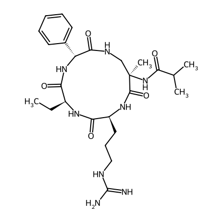 CC[C@@H]1NC(=O)[C@H](CCCNC(=N)N)NC(=O)[C@](C)(NC(=O)C(C)C)CNC(=O)[C@@H](c2ccccc2)NC1=O